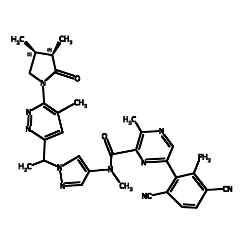 Cc1cc(C(C)n2cc(N(C)C(=O)c3nc(-c4c(C#N)ccc(C#N)c4P)cnc3C)cn2)nnc1N1C[C@@H](C)[C@@H](C)C1=O